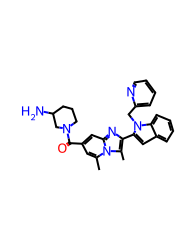 Cc1cc(C(=O)N2CCCC(N)C2)cc2nc(-c3cc4ccccc4n3Cc3ccccn3)c(C)n12